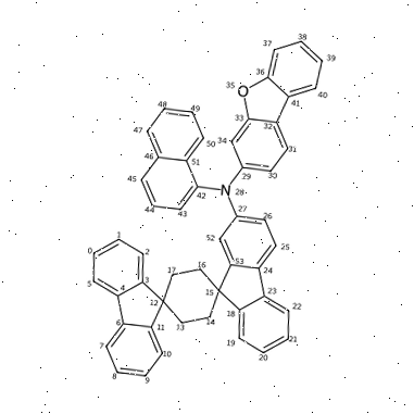 c1ccc2c(c1)-c1ccccc1C21CCC2(CC1)c1ccccc1-c1ccc(N(c3ccc4c(c3)oc3ccccc34)c3cccc4ccccc34)cc12